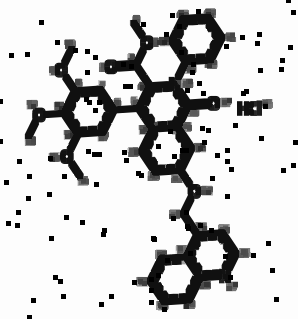 COC(=O)c1c(-c2cc(OC)c(OC)c(OC)c2)c2ccc(OCc3ccnc4ccccc34)cc2c(=O)n1-c1ccccc1.Cl